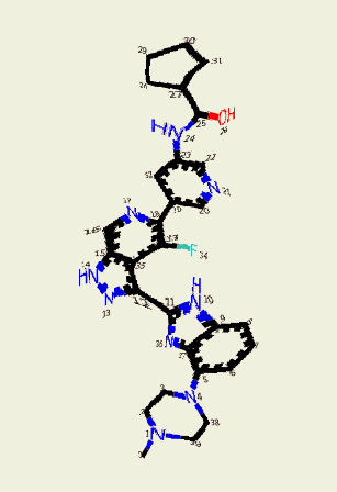 CN1CCN(c2cccc3[nH]c(-c4n[nH]c5cnc(-c6cncc(NC(O)C7CCCC7)c6)c(F)c45)nc23)CC1